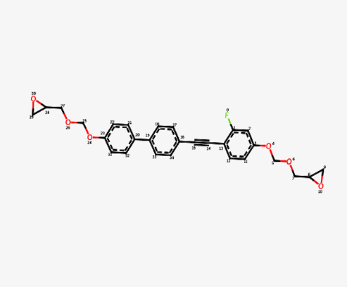 Fc1cc(OCOCC2CO2)ccc1C#Cc1ccc(-c2ccc(OCOCC3CO3)cc2)cc1